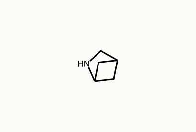 C1NC2CC1C2